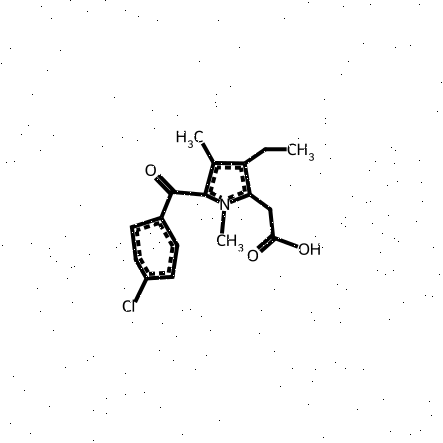 CCc1c(C)c(C(=O)c2ccc(Cl)cc2)n(C)c1CC(=O)O